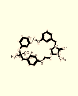 CN1C(=O)N(Cc2cccc(OC(F)(F)F)c2)C[C@H]1CCOc1ccc(C[C@](C)(Oc2ccccc2)C(=O)O)cc1